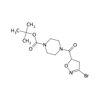 CC(C)(C)OC(=O)N1CCN(C(=O)C2CC(Br)=NO2)CC1